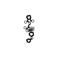 O=C(O)C(CCN1C(=O)c2ccccc2C1=O)NS(=O)(=O)c1ccc(Oc2ccccc2)cc1